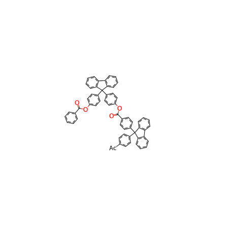 CC(=O)c1ccc(C2(c3ccc(C(=O)Oc4ccc(C5(c6ccc(OC(=O)c7ccccc7)cc6)c6ccccc6-c6ccccc65)cc4)cc3)c3ccccc3-c3ccccc32)cc1